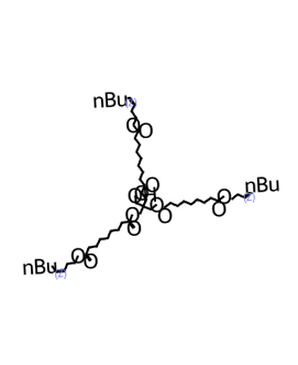 CCCC/C=C\CCOC(=O)CCCCCCCC(=O)OCC(CO)(COC(=O)CCCCCCCC(=O)OCC/C=C\CCCC)COC(=O)CCCCCCCC(=O)OCC/C=C\CCCC